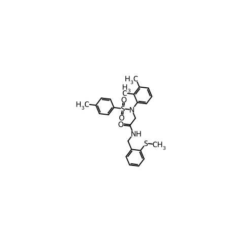 CSc1ccccc1CNC(=O)CN(c1cccc(C)c1C)S(=O)(=O)c1ccc(C)cc1